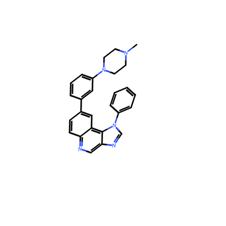 CN1CCN(c2cccc(-c3ccc4ncc5ncn(-c6ccccc6)c5c4c3)c2)CC1